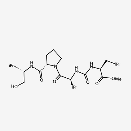 COC(=O)[C@H](CC(C)C)NC(=O)N[C@H](C(=O)N1CCC[C@H]1C(=O)N[C@H](CO)C(C)C)C(C)C